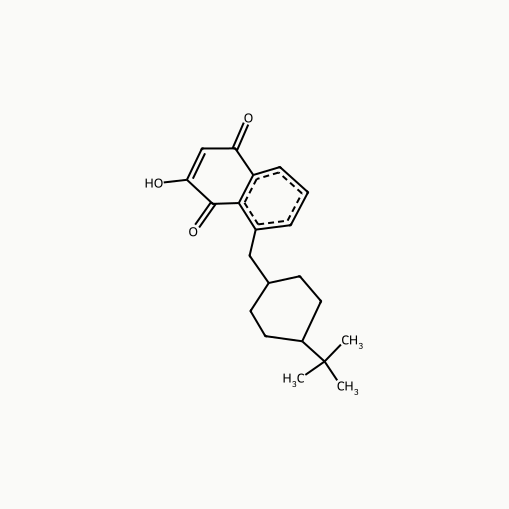 CC(C)(C)C1CCC(Cc2cccc3c2C(=O)C(O)=CC3=O)CC1